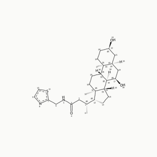 C[C@H](CC(=O)NCc1nccs1)[C@H]1CC[C@H]2[C@@H]3[C@H](O)C[C@@H]4C[C@H](O)CC[C@]4(C)[C@H]3CC[C@]12C